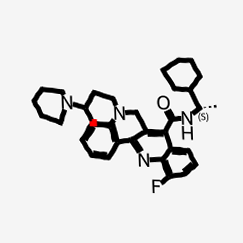 C[C@H](NC(=O)c1c(CN2CCC(N3CCCCC3)CC2)c(-c2ccccc2)nc2c(F)cccc12)C1CCCCC1